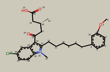 COc1cccc(CCCCCCc2c(C(=O)C[C@@H](C)CC(=O)O)c3cc(Cl)ccc3n2C)c1